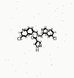 O=C(c1cn[nH]c1)N(Cc1ccc2ncc(Cl)cc2c1)Cc1ncn2ccc(Cl)cc12